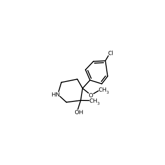 COC1(c2ccc(Cl)cc2)CCNCC1(C)O